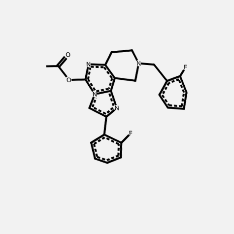 CC(=O)Oc1nc2c(c3nc(-c4ccccc4F)cn13)CN(Cc1ccccc1F)CC2